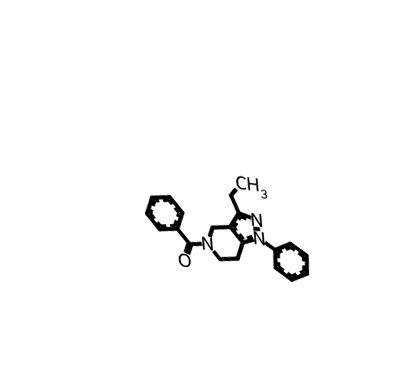 CCc1nn(-c2ccccc2)c2c1CN(C(=O)c1ccccc1)CC2